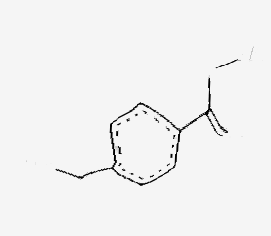 CCCCOC(=O)c1ccc(CC(=O)O)cc1